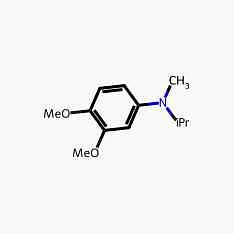 COc1ccc(N(C)C(C)C)cc1OC